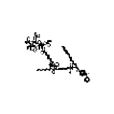 C=CC(=O)OCC(COCC(COC(=O)C=C)(COC(=O)C=C)OOC(=O)C=C)(COC(=O)C=C)COC(=O)CCCCCCCNC(=O)N(CCCCCCNC(=O)OC(CCCCCCCCCCCC)COc1ccc([I+]c2ccccc2)cc1)C(=O)NCCCCCCC